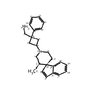 C[C@H]1CN(C2CC(CN)(c3ccccc3)C2)CC[C@@]12C=Cc1ccccc12